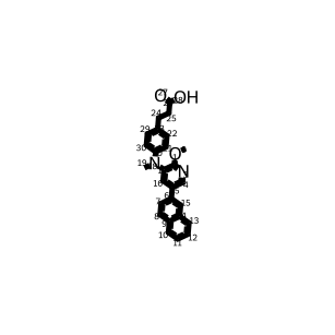 COc1ncc(-c2ccc3ccccc3c2)cc1N(C)c1ccc(CCC(=O)O)cc1